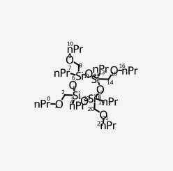 CCCOC[Si]1(CCC)O[Si](CCC)(COCCC)O[Si](CCC)(COCCC)O[Si](CCC)(COCCC)O1